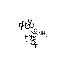 CC[C@H](NC(=O)c1nc(-c2ccc(OC)c3nc(C(F)(F)F)ccc23)oc1CN)c1ccc(F)cc1